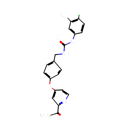 CNC(=O)c1cc(Oc2ccc(CNC(=O)Nc3ccc(F)c(C#N)c3)cc2)ccn1